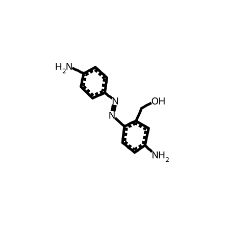 Nc1ccc(/N=N/c2ccc(N)cc2CO)cc1